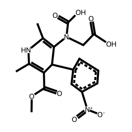 COC(=O)C1=C(C)NC(C)=C(N(CC(=O)O)C(=O)O)C1c1cccc([N+](=O)[O-])c1